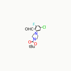 CC(C)(C)OC(=O)N1CCN(c2cc(Cl)cc(F)c2C=O)CC1